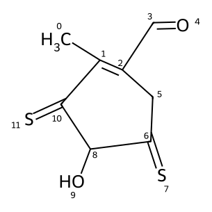 CC1=C(C=O)CC(=S)C(O)C1=S